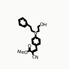 COC(=O)C(C#N)=Cc1ccc(N(CCO)CCc2ccccc2)cc1